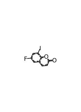 O=c1ccc2cc(F)cc(I)c2o1